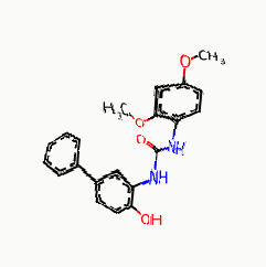 COc1ccc(NC(=O)Nc2cc(-c3ccccc3)ccc2O)c(OC)c1